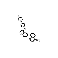 CN1CCN(c2ccc(Nc3ccnc4ccc(-c5cccc6c(N)ccnc56)cc34)cc2)CC1